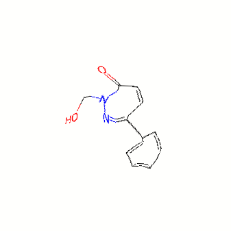 O=c1ccc(-c2ccccc2)nn1CO